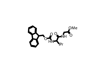 COC(=O)CNC(=O)C(NC(=O)OCC1c2ccccc2-c2ccccc21)C(C)C